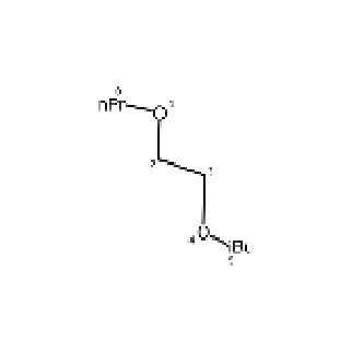 CCCOCCOC(C)CC